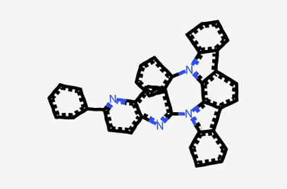 c1ccc(-c2ccc3nc(-n4c5ccccc5c5ccc6c7ccccc7n(-c7ccccc7)c6c54)ccc3n2)cc1